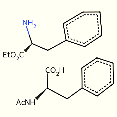 CC(=O)N[C@H](Cc1ccccc1)C(=O)O.CCOC(=O)[C@@H](N)Cc1ccccc1